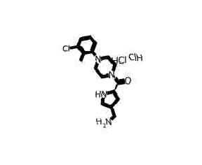 Cc1c(Cl)cccc1N1CCN(C(=O)[C@H]2CC(CN)CN2)CC1.Cl.Cl